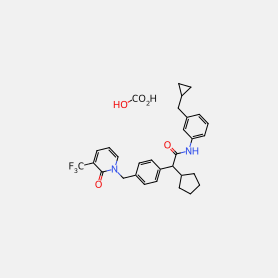 O=C(Nc1cccc(CC2CC2)c1)C(c1ccc(Cn2cccc(C(F)(F)F)c2=O)cc1)C1CCCC1.O=C(O)O